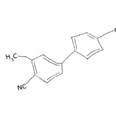 Cc1cc(-c2ccc(C#N)cc2)ccc1C#N